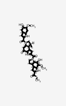 COc1cc2[nH]c(C(=O)N3C[C@H]4C[C@@]45C3=CC(=O)c3[nH]c(C(=O)N4CCc6c4c(O)c(OC)c4[nH]c(C(=O)SC)cc64)cc35)cc2cc1O